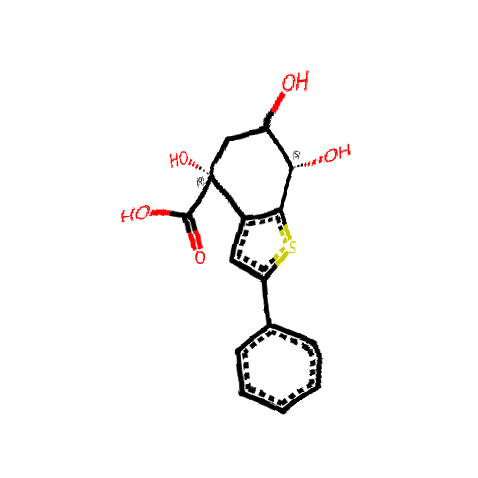 O=C(O)[C@@]1(O)CC(O)[C@H](O)c2sc(-c3ccccc3)cc21